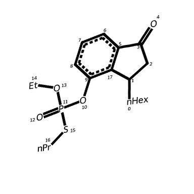 CCCCCCC1CC(=O)c2cccc(OP(=O)(OCC)SCCC)c21